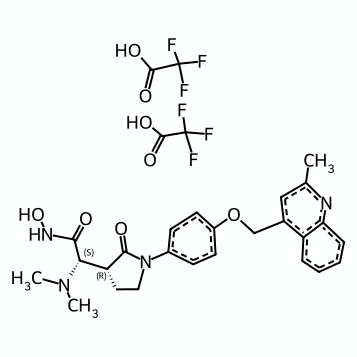 Cc1cc(COc2ccc(N3CC[C@H]([C@@H](C(=O)NO)N(C)C)C3=O)cc2)c2ccccc2n1.O=C(O)C(F)(F)F.O=C(O)C(F)(F)F